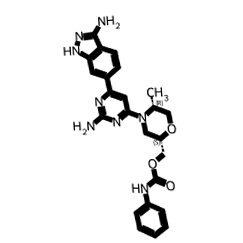 C[C@@H]1CO[C@H](COC(=O)Nc2ccccc2)CN1c1cc(-c2ccc3c(N)n[nH]c3c2)nc(N)n1